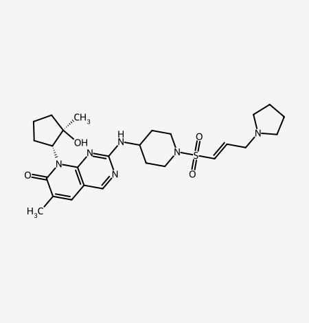 Cc1cc2cnc(NC3CCN(S(=O)(=O)/C=C/CN4CCCC4)CC3)nc2n([C@@H]2CCC[C@@]2(C)O)c1=O